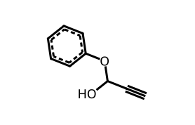 C#CC(O)Oc1ccccc1